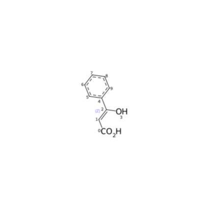 O=C(O)/C=C(\O)c1ccccc1